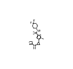 Cc1sc(C(=O)NC2CCC(F)(F)CC2)cc1C1CC1NC1CCC1